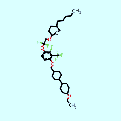 CCCCCC1CCC(OCC(F)(F)Oc2ccc(OCC3CCC(C4CCC(OCC)CC4)CC3)c(C(F)(F)F)c2F)CC1